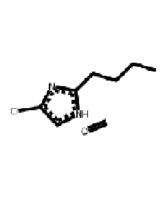 C=O.CCCCc1nc(Cl)c[nH]1